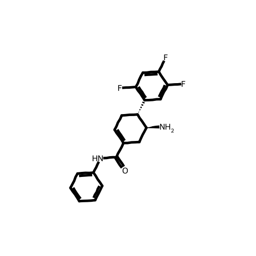 N[C@H]1CC(C(=O)Nc2ccccc2)=CC[C@@H]1c1cc(F)c(F)cc1F